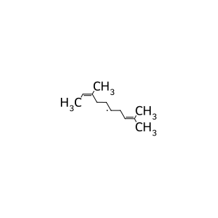 CC=C(C)CC[CH]CC=C(C)C